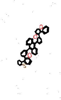 c1ccc2c(c1)oc1ccc3oc4c(-c5c6ccccc6c(-c6cccc7c6oc6ccc8sc9ccccc9c8c67)c6ccccc56)cccc4c3c12